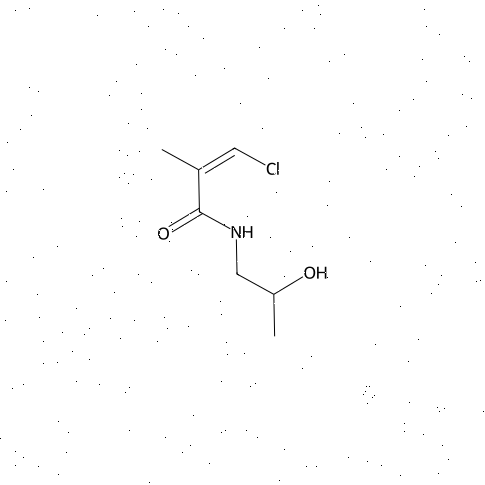 CC(=CCl)C(=O)NCC(C)O